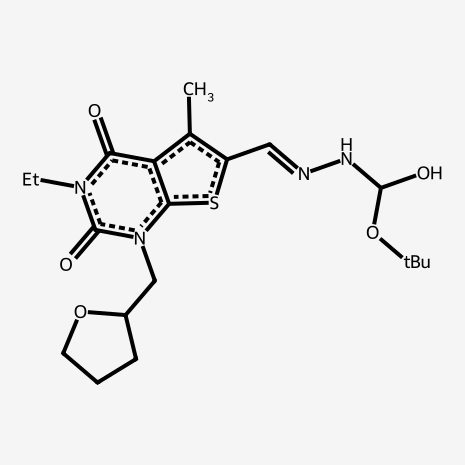 CCn1c(=O)c2c(C)c(/C=N/NC(O)OC(C)(C)C)sc2n(CC2CCCO2)c1=O